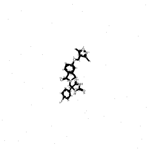 Cc1noc(C)c1COc1ccc2c(c1)CN(CC1(c3ccc(F)cc3)NC(=O)NC1=O)C2=O